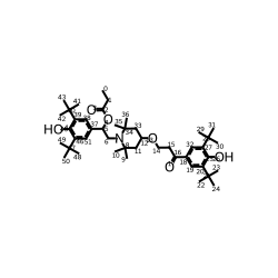 CCC(=O)OC(CN1C(C)(C)CC(OCCC(=O)c2cc(C(C)(C)C)c(O)c(C(C)(C)C)c2)CC1(C)C)c1cc(C(C)(C)C)c(O)c(C(C)(C)C)c1